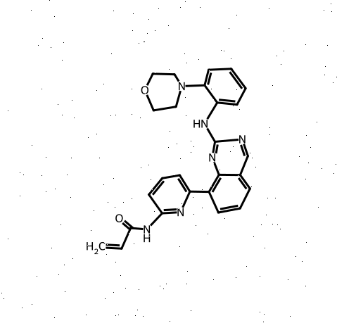 C=CC(=O)Nc1cccc(-c2cccc3cnc(Nc4ccccc4N4CCOCC4)nc23)n1